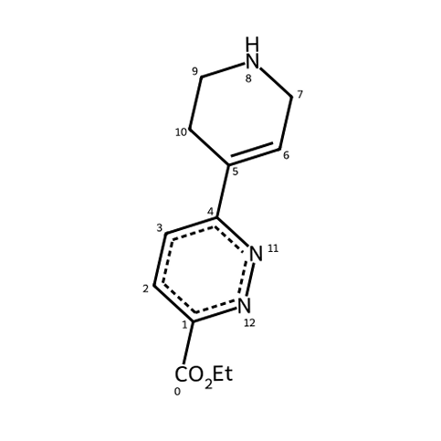 CCOC(=O)c1ccc(C2=CCNCC2)nn1